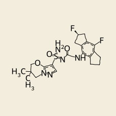 CC1(C)COc2c([S@@](N)(=O)=NC(=O)Nc3c4c(c(F)c5c3C[C@@H](F)C5)CCC4)cnn2C1